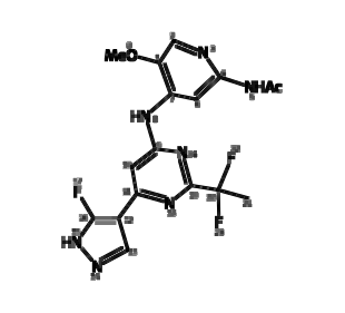 COc1cnc(NC(C)=O)cc1Nc1cc(-c2cn[nH]c2F)nc(C(C)(F)F)n1